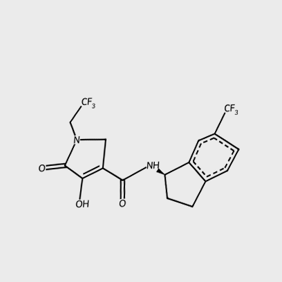 O=C(N[C@@H]1CCc2ccc(C(F)(F)F)cc21)C1=C(O)C(=O)N(CC(F)(F)F)C1